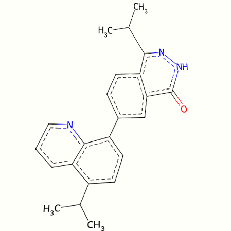 CC(C)c1ccc(-c2ccc3c(C(C)C)n[nH]c(=O)c3c2)c2ncccc12